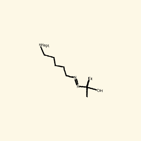 CCCCCCCCCCCC/N=N/C(C)(O)CC